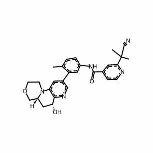 Cc1ccc(NC(=O)c2ccnc(C(C)(C)C#N)c2)cc1-c1cnc2c(c1)N1CCOC[C@H]1C[C@H]2O